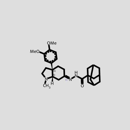 COc1ccc([C@@]23CC/C(=N\NC(=O)C45CC6CC(CC(C6)C4)C5)C[C@@H]2N(C)CC3)cc1OC